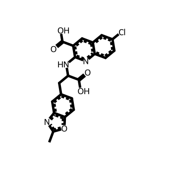 Cc1nc2cc(CC(Nc3nc4ccc(Cl)cc4cc3C(=O)O)C(=O)O)ccc2o1